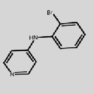 Brc1ccccc1Nc1ccncc1